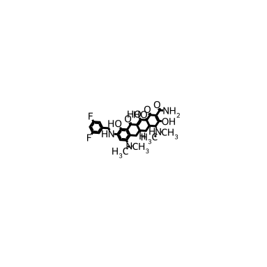 CN(C)c1cc(NCc2cc(F)cc(F)c2)c(O)c2c1C[C@H]1C[C@@H]3[C@H](N(C)C)C(O)=C(C(N)=O)C(=O)C3(O)C(O)=C1C2=O